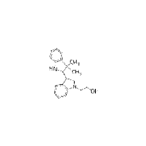 CC1(C)c2ccccc2NC1C1CN(CCO)c2ccccc21